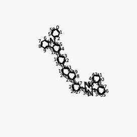 c1ccc(-n2c3ccccc3c3cc(-c4ccc(-c5ccc6cc(-c7cccc(-c8cnc9c%10ccccc%10c%10ccccc%10c9n8)c7)ccc6c5)cc4)ccc32)cc1